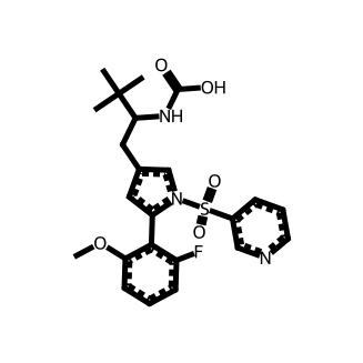 COc1cccc(F)c1-c1cc(CC(NC(=O)O)C(C)(C)C)cn1S(=O)(=O)c1cccnc1